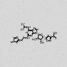 CCC(CC)Nc1nc(NCCc2cn(C)cn2)nc2c1ncn2[C@@H]1O[C@H](c2cc(C(C)O)no2)[C@@H](O)[C@H]1O